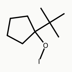 CC(C)(C)C1(OI)CCCC1